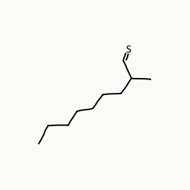 CCCCCCCC(C)C=S